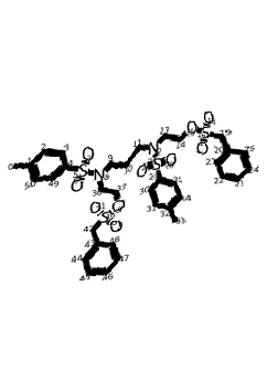 Cc1ccc(S(=O)(=O)N(CCCN(CCOS(=O)(=O)Cc2ccccc2)S(=O)(=O)c2ccc(C)cc2)CCOS(=O)(=O)Cc2ccccc2)cc1